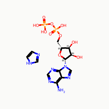 Nc1ncnc2c1ncn2[C@@H]1O[C@H](COP(=O)(O)OP(=O)(O)O)[C@@H](O)[C@H]1O.c1c[nH]cn1